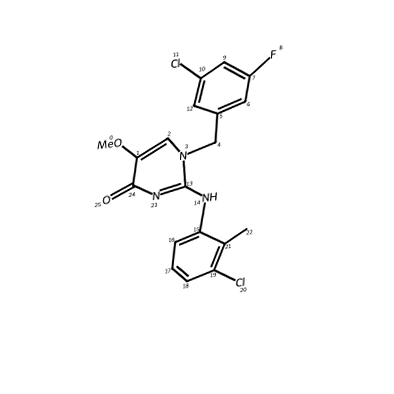 COc1cn(Cc2cc(F)cc(Cl)c2)c(Nc2cccc(Cl)c2C)nc1=O